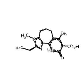 COCc1nc2c(n1C)CCCc1c-2[nH]c(=O)c(C(=O)O)c1O